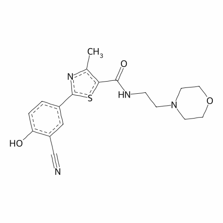 Cc1nc(-c2ccc(O)c(C#N)c2)sc1C(=O)NCCN1CCOCC1